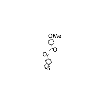 COc1ccc(C(=O)CCC(=O)c2ccc3sccc3c2)cc1